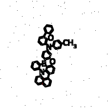 Cc1ccc(N(c2ccc3c(c2)Oc2ccc(-c4ccccc4)c4c2B3c2ccccc2N4c2ccccc2)c2cccc3c2oc2ccccc23)cc1